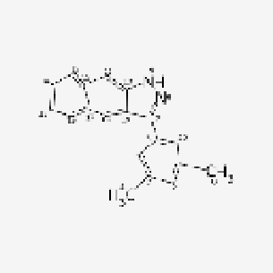 Cc1cc(C)cc(-c2n[nH]c3cc4ccccc4cc23)c1